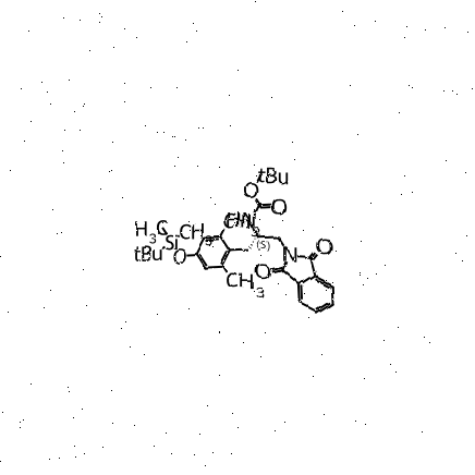 Cc1cc(O[Si](C)(C)C(C)(C)C)cc(C)c1C[C@@H](CN1C(=O)c2ccccc2C1=O)NC(=O)OC(C)(C)C